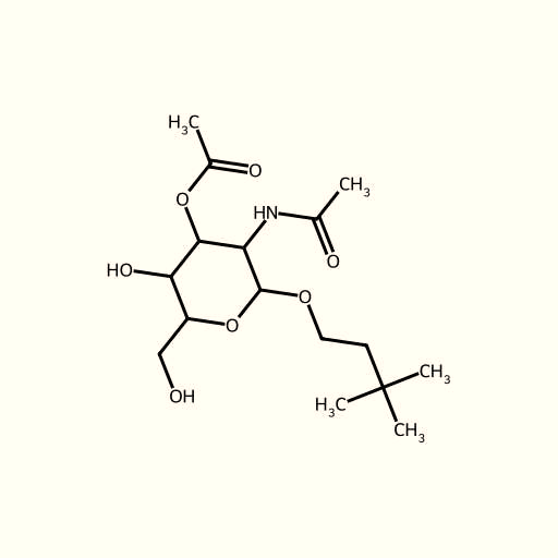 CC(=O)NC1C(OCCC(C)(C)C)OC(CO)C(O)C1OC(C)=O